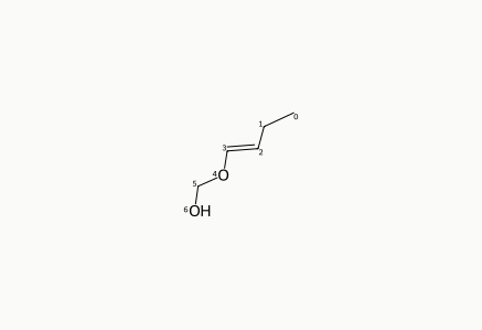 CC/C=C/OCO